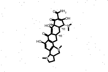 CN1CC2CCN(C)C2c2cc(O)c3c(c21)C[C@@H]1C[C@H]2[C@@H](C(=O)C(C(N)=O)=C(O)[C@@H]2N(C)C)C(O)=C1C3=O